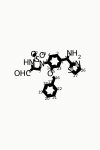 NC(c1ccc(N2CC(C=O)NS2(=O)=O)c(OCc2ccccc2)c1)c1nccs1